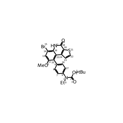 CCN(C(=O)OC(C)(C)C)c1ccc(-c2c(OC)cc(Br)c3[nH]c(=O)c4sccc4c23)cc1